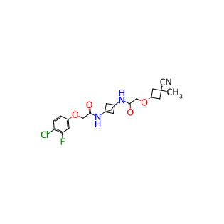 C[C@]1(C#N)C[C@H](OCC(=O)NC23CC(NC(=O)COc4ccc(Cl)c(F)c4)(C2)C3)C1